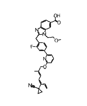 C=C/C(=C\C=C(/C)COc1cccc(-c2ccc(Cc3nc4ccc(C(=O)O)cc4n3CCOC)c(F)c2)n1)C1(C#N)CC1